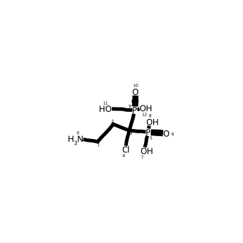 NCCC(Cl)(P(=O)(O)O)P(=O)(O)O